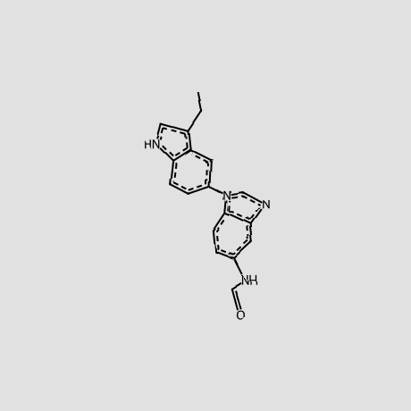 CCc1c[nH]c2ccc(-n3cnc4cc(NC=O)ccc43)cc12